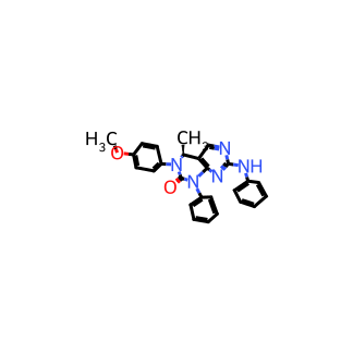 COc1ccc(N2C(=O)N(c3ccccc3)c3nc(Nc4ccccc4)ncc3[C@@H]2C)cc1